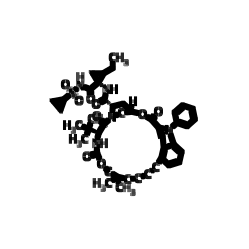 CCC1C[C@]1(NC(=O)[C@@H]1C[C@@H]2CN1C(=O)[C@H](C(C)(C)C)NC(=O)OCC(C)(C)CCCCc1cccc3c1cc(n3-c1ccccc1)C(=O)O2)C(=O)NS(=O)(=O)C1CC1